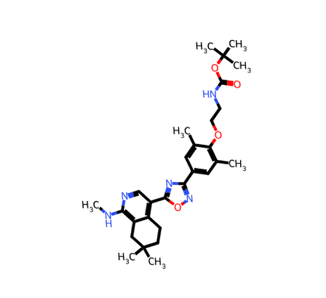 CNc1ncc(-c2nc(-c3cc(C)c(OCCNC(=O)OC(C)(C)C)c(C)c3)no2)c2c1CC(C)(C)CC2